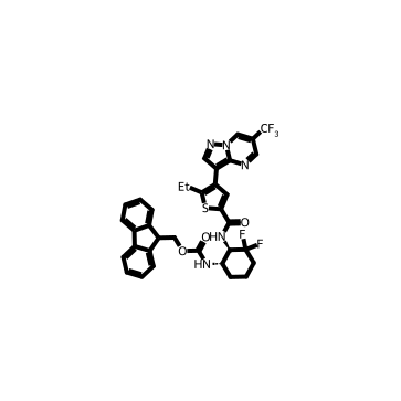 CCc1sc(C(=O)N[C@@H]2[C@@H](NC(=O)OCC3c4ccccc4-c4ccccc43)CCCC2(F)F)cc1-c1cnn2cc(C(F)(F)F)cnc12